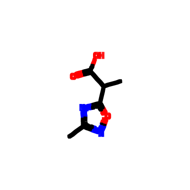 Cc1noc(C(C)C(=O)O)n1